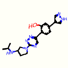 CC(C)NC1CCN(c2ncc(-c3ccc(-c4cn[nH]c4)cc3O)nn2)C1